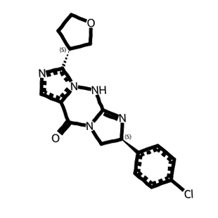 O=C1c2cnc([C@@H]3CCOC3)n2NC2=N[C@@H](c3ccc(Cl)cc3)CN12